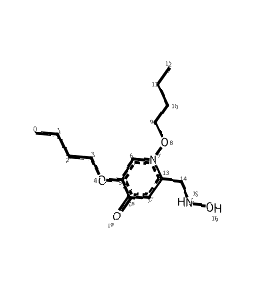 CCCCOc1cn(OCCCC)c(CNO)cc1=O